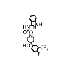 O=C(Nc1n[nH]c2ccccc12)ON1CCC(O)(c2ccc(F)c(C(F)(F)F)c2)CC1